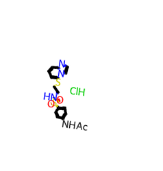 CC(=O)Nc1ccc(S(=O)(=O)NCCSc2cccc3nccn23)cc1.Cl